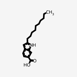 CCCCCCCCCCc1cc2ccc(C(=O)O)cc2[nH]1